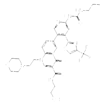 CCCNC(=O)Nc1cc(-c2nc(C(F)(F)F)cs2)c(-c2ccc3c(c2)c(=O)c(C(=O)NCCO)cn3CCN2CCOCC2)cn1